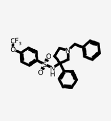 O=S(=O)(NC1(c2ccccc2)CCN(Cc2ccccc2)C1)c1ccc(OC(F)(F)F)cc1